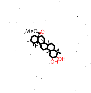 COC(=O)[C@]12CC[C@@H](C)[C@H](C)[C@H]1C1=CCC3[C@@]4(C)C[C@@H](O)[C@@H](O)C(C)(C)C4CC[C@@]3(C)[C@]1(C)CC2